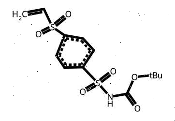 C=CS(=O)(=O)c1ccc(S(=O)(=O)NC(=O)OC(C)(C)C)cc1